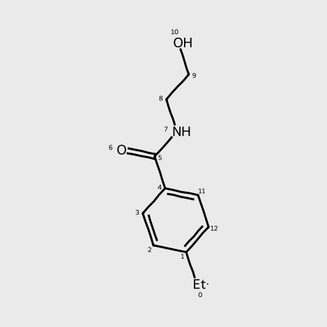 C[CH]c1ccc(C(=O)NCCO)cc1